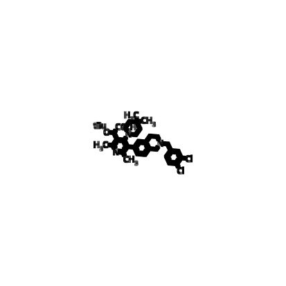 Cc1nc(C)c(C(OC(C)(C)C)C(=O)O)c(N2CCC(C)(C)CC2)c1-c1ccc2c(c1)CCN(Cc1ccc(Cl)c(Cl)c1)C2